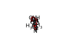 CC1(C)C(=O)N(c2ccc(C#N)c(C(F)(F)F)c2)C(=S)N1c1ccc(OCCN2CCN(CC(=O)Nc3ccc4occ([C@@H]5CCC(=O)NC5=O)c4c3)CC2)c(F)c1